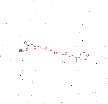 CC(C)(C)OC(=O)COCCOCCOCCOCCNC1CCOCC1